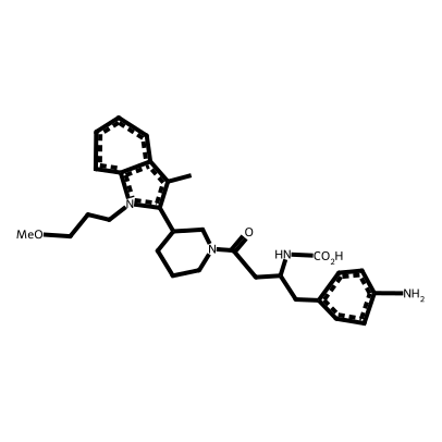 COCCCn1c(C2CCCN(C(=O)CC(Cc3ccc(N)cc3)NC(=O)O)C2)c(C)c2ccccc21